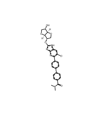 CN(C)C(=O)c1ccc(-c2ccc(-c3nc4nc(O[C@@H]5CO[C@H]6[C@@H]5OC[C@H]6O)[nH]c4cc3Cl)cc2)cc1